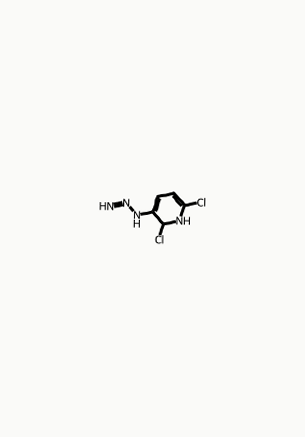 N=NNC1=CC=C(Cl)NC1Cl